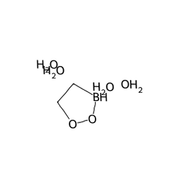 B1CCOO1.O.O.O.O